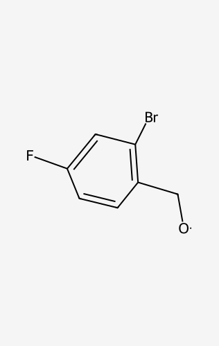 [O]Cc1ccc(F)cc1Br